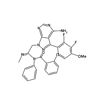 C/N=C(/Cn1nc(-c2ccc(OC)c(F)c2F)c2c(N)ncnc21)N(C(=O)c1ccccc1Cl)c1ccccc1